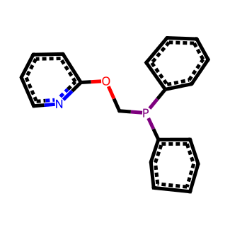 c1ccc(P(COc2ccccn2)c2ccccc2)cc1